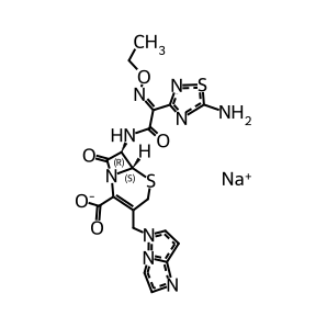 CCON=C(C(=O)N[C@@H]1C(=O)N2C(C(=O)[O-])=C(Cn3ccc4nccn43)CS[C@@H]12)c1nsc(N)n1.[Na+]